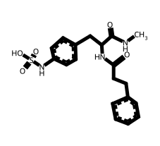 CNC(=O)C(Cc1ccc(NS(=O)(=O)O)cc1)NC(=O)CCc1ccccc1